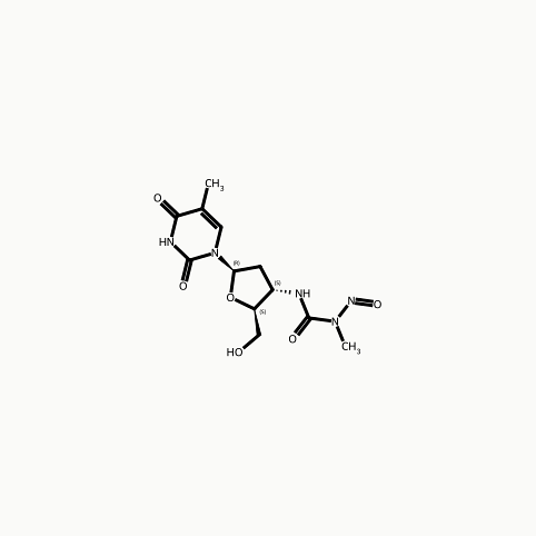 Cc1cn([C@H]2C[C@H](NC(=O)N(C)N=O)[C@@H](CO)O2)c(=O)[nH]c1=O